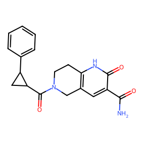 NC(=O)c1cc2c([nH]c1=O)CCN(C(=O)C1CC1c1ccccc1)C2